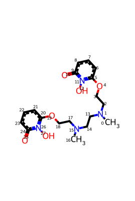 CN(CCOc1cccc(=O)n1O)CCN(C)CCOc1cccc(=O)n1O